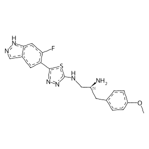 COc1ccc(C[C@H](N)CNc2nnc(-c3cc4cn[nH]c4cc3F)s2)cc1